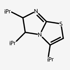 CC(C)C1=CSC2=NC(C(C)C)C(C(C)C)N12